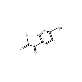 CC(C)(C)c1ccc(C(=O)C(=O)Cl)cc1